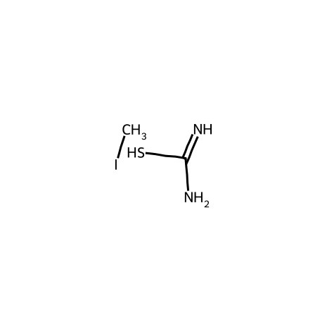 CI.N=C(N)S